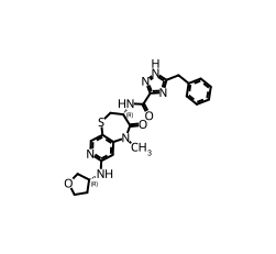 CN1C(=O)[C@@H](NC(=O)c2n[nH]c(Cc3ccccc3)n2)CSc2cnc(N[C@@H]3CCOC3)cc21